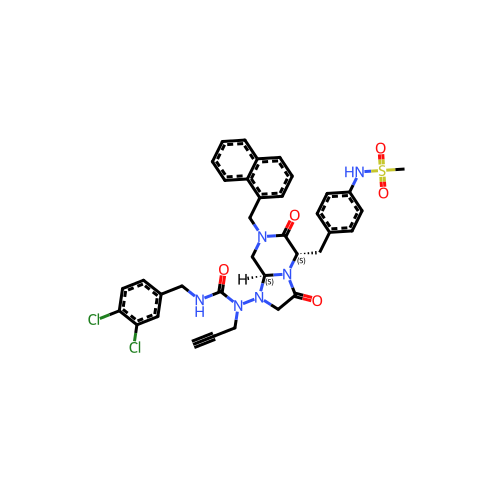 C#CCN(C(=O)NCc1ccc(Cl)c(Cl)c1)N1CC(=O)N2[C@@H](Cc3ccc(NS(C)(=O)=O)cc3)C(=O)N(Cc3cccc4ccccc34)C[C@@H]21